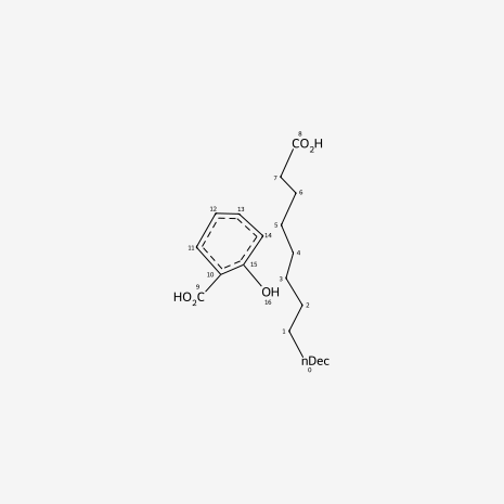 CCCCCCCCCCCCCCCCCC(=O)O.O=C(O)c1ccccc1O